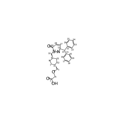 O=C(O)COC[C@H]1CC[C@@H](Cn2nc(C(c3ccccc3)c3ccccc3)ccc2=O)CC1